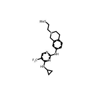 CSCCN1CCc2ccc(Nc3ncc(C(F)(F)F)c(NC4CC4)n3)cc2C1